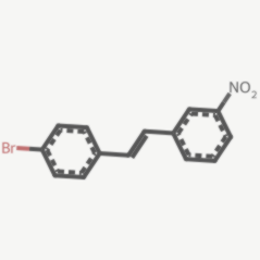 O=[N+]([O-])c1cccc(/C=C/c2ccc(Br)cc2)c1